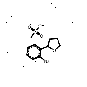 CS(=O)(=O)O.[Na][c]1ccccc1C1CCCO1